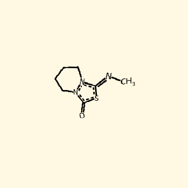 C/N=c1\sc(=O)n2n1CCCC2